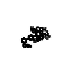 CCc1cc(-c2cccc(OC)c2)ccc1C1=C(O)C(C)(C)OC(C)(C)C1=O